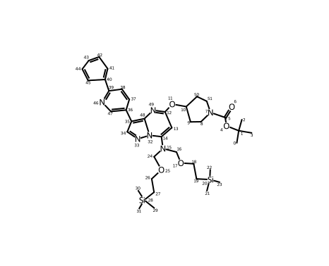 CC(C)(C)OC(=O)N1CCC(Oc2cc(N(COCC[Si](C)(C)C)COCC[Si](C)(C)C)n3ncc(-c4ccc(-c5ccccc5)nc4)c3n2)CC1